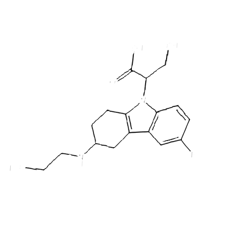 CCCNC1CCc2c(c3cc(F)ccc3n2C(CC)C(=O)O)C1